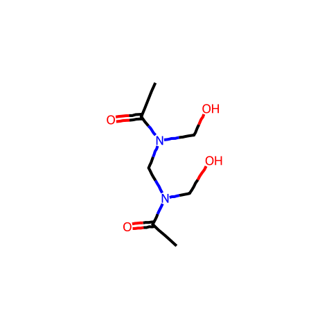 CC(=O)N(CO)CN(CO)C(C)=O